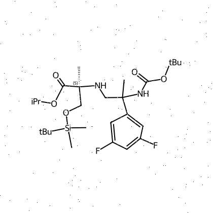 CC(C)OC(=O)[C@](C)(CO[Si](C)(C)C(C)(C)C)NCC(C)(NC(=O)OC(C)(C)C)c1cc(F)cc(F)c1